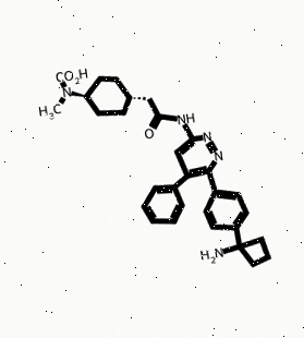 CN(C(=O)O)[C@H]1CC[C@H](CC(=O)Nc2cc(-c3ccccc3)c(-c3ccc(C4(N)CCC4)cc3)nn2)CC1